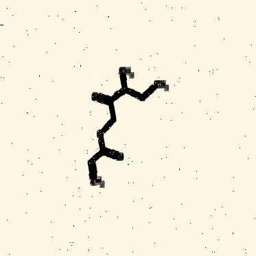 C=CC(=O)OCC(=O)C(C)CC